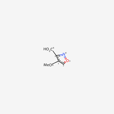 COc1conc1C(=O)O